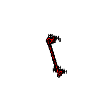 CC(C)(C)C(=O)CN1C(=O)[C@H](NC(=O)Nc2cccc(C(=O)NCCOCCOCCOCCOCCOCCOCCOCCOCCOCCOCCOCCOCCC(=O)NCCNC(=S)Nc3ccc(-c4c5ccc(=O)cc-5oc5cc(O)ccc45)c(C(=O)O)c3)c2)CN(C2CCCCC2)c2ccccc21